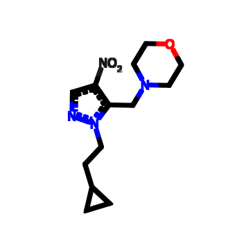 O=[N+]([O-])c1cnn(CCC2CC2)c1CN1CCOCC1